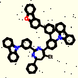 CCC1=C(c2ccc(-n3c4ccccc4c4ccccc43)c(-c3cccc(-c4ccc5oc6ccccc6c5c4)c3)c2)N=C(c2cccc(-n3c4ccccc4c4ccccc43)c2)N=C(c2ccccc2)C1